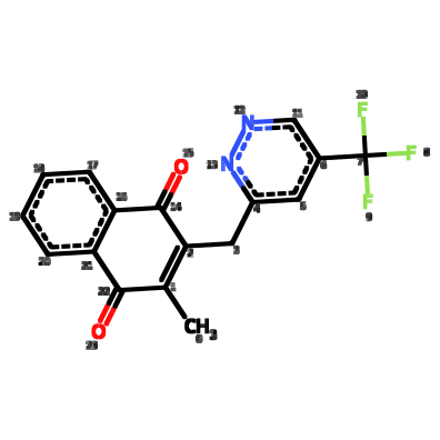 CC1=C(Cc2cc(C(F)(F)F)cnn2)C(=O)c2ccccc2C1=O